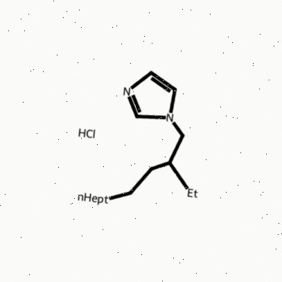 CCCCCCCCCC(CC)Cn1ccnc1.Cl